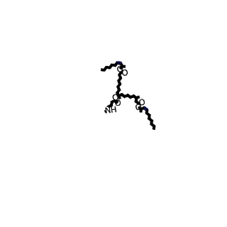 CCCCCC/C=C\C(C)OC(=O)CCCCCCCC(C)(CCCCCC(C)CC(=O)OC(C)/C=C\CCCCCCC)OC(=O)CCCNC